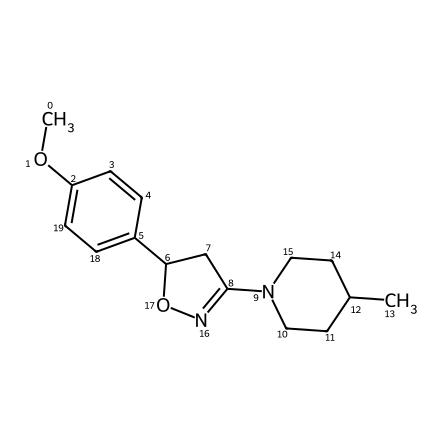 COc1ccc(C2CC(N3CCC(C)CC3)=NO2)cc1